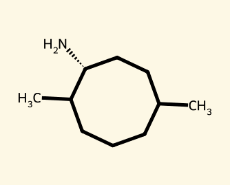 CC1CCCC(C)[C@H](N)CC1